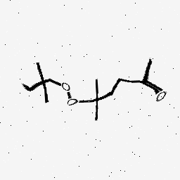 CC(=O)CCC(C)(C)OOC(C)(C)C